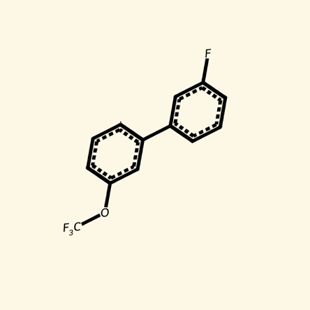 Fc1cccc(-c2[c]ccc(OC(F)(F)F)c2)c1